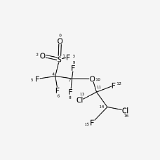 O=S(=O)(F)C(F)(F)C(F)(F)OC(F)(Cl)C(F)Cl